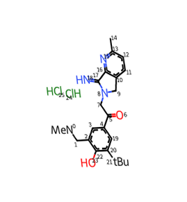 CNCc1cc(C(=O)CN2Cc3ccc(C)nc3C2=N)cc(C(C)(C)C)c1O.Cl.Cl